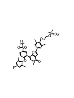 Cc1cc(-c2cc3c(=O)n(C)cc(-c4cc(S(N)(=O)=O)ccc4Oc4c(C)cc(F)cc4C)c3o2)cc(C)c1OCCO[Si](C)(C)C(C)(C)C